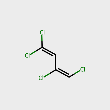 Cl/C=C(/Cl)C=C(Cl)Cl